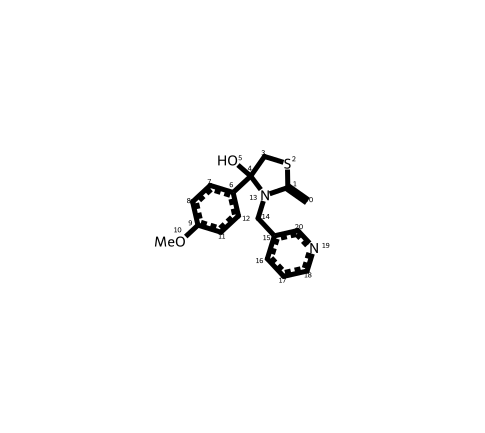 C=C1SCC(O)(c2ccc(OC)cc2)N1Cc1cccnc1